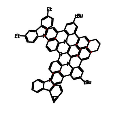 CCc1ccc2c(c1)c1cc(CC)ccc1n2-c1ccc2c(c1)N(c1c(-c3ccccc3)cc(C(C)(C)C)cc1-c1ccccc1)c1cc(C3CCCCC3)cc3c1B2c1ccc(-n2c4ccccc4c4c5c(ccc42)=C=5)cc1N3c1c(-c2ccccc2)cc(C(C)(C)C)cc1-c1ccccc1